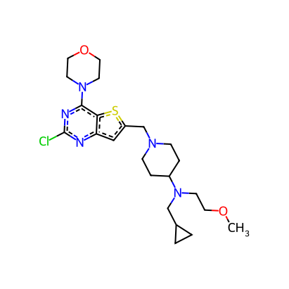 COCCN(CC1CC1)C1CCN(Cc2cc3nc(Cl)nc(N4CCOCC4)c3s2)CC1